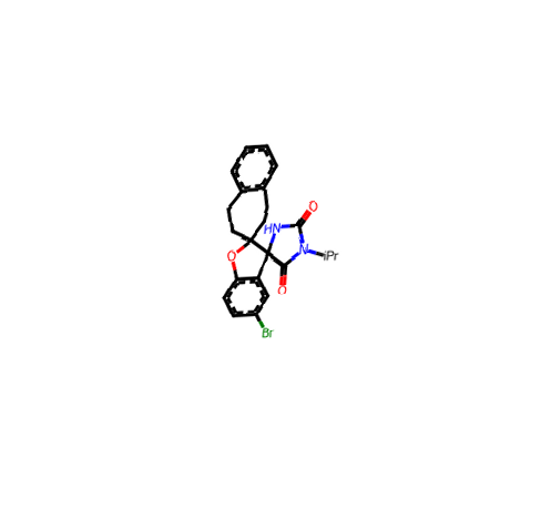 CC(C)N1C(=O)NC2(C1=O)c1cc(Br)ccc1OC21CCc2ccccc2CC1